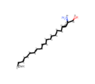 CCCCCCCCCCCCCCCCCCCCCCCCCC/C=C/C(N)CO